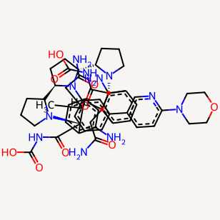 CC1(CC(N)=O)c2ccc(c(N)c2)[C@@]1(C(=O)NC(=O)O)N1CCCC1[C@H]1CC[C@H](C2CCCN2[C@]2(C(=O)NC(=O)O)c3ccc(cc3N)C2(C)CC(N)=O)N1c1cccc(-c2ccc(N3CCOCC3)nc2)c1